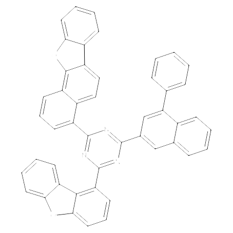 c1ccc(-c2cc(-c3nc(-c4cccc5c4ccc4c6ccccc6oc54)nc(-c4cccc5oc6ccccc6c45)n3)cc3ccccc23)cc1